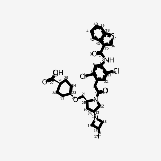 O=C(Nc1cc(Cl)c(CC(=O)N2C[C@@H](N3CC(F)C3)C[C@H]2CO[C@H]2CC[C@H](C(=O)O)CC2)cc1Cl)c1csc2ccccc12